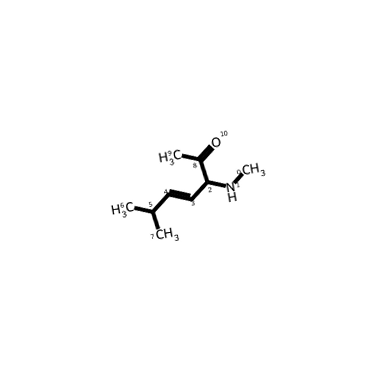 CNC(C=CC(C)C)C(C)=O